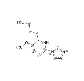 COC(=O)C(CCSC)NC(=O)n1ccnc1